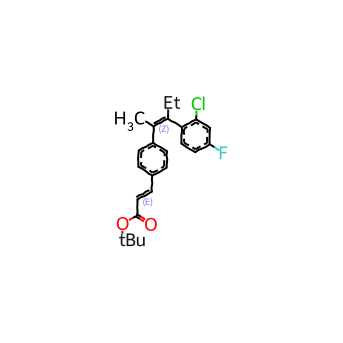 CC/C(=C(\C)c1ccc(/C=C/C(=O)OC(C)(C)C)cc1)c1ccc(F)cc1Cl